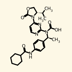 CC(C)[C@H]1COC(=O)N1c1ccnc(N(C(=O)O)[C@@H](C)c2ccc(NC(=O)C3CCCCC3)cc2)n1